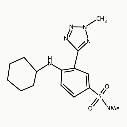 CNS(=O)(=O)c1ccc(NC2CCCCC2)c(-c2nnn(C)n2)c1